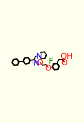 O=C(O)Cc1cccc(OCCO/N=C(\CN2CC=CCC2)c2ccc(-c3ccccc3)cc2)c1F